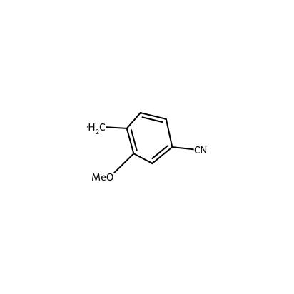 [CH2]c1ccc(C#N)cc1OC